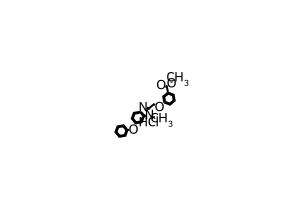 COC(=O)c1cccc(OCc2nc3ccc(Oc4ccccc4)cc3n2C)c1.Cl